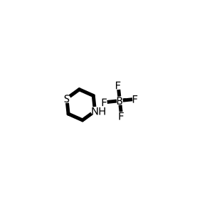 C1CSCCN1.F[B-](F)(F)F